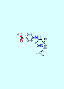 COC(=O)c1ccc(NC2CCN(CC3CC3)C(C)(C)C2)cc1